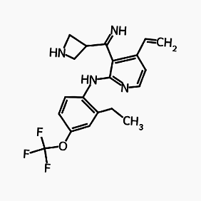 C=Cc1ccnc(Nc2ccc(OC(F)(F)F)cc2CC)c1C(=N)C1CNC1